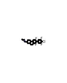 CC/C=C/C1CCC2c3cc(F)c(-c4cc(F)c(Cl)c(F)c4)c(F)c3CCC2C1